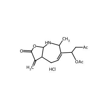 C=C1C(=O)OC2NC(C)C(C(CC(C)=O)OC(C)=O)=CCC12.Cl